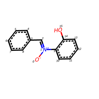 [O-][N+](=Cc1ccccc1)c1ccccc1O